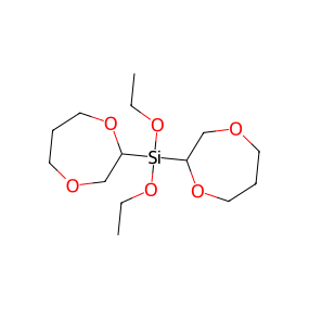 CCO[Si](OCC)(C1COCCCO1)C1COCCCO1